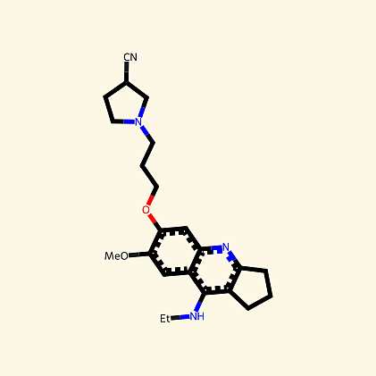 CCNc1c2c(nc3cc(OCCCN4CCC(C#N)C4)c(OC)cc13)CCC2